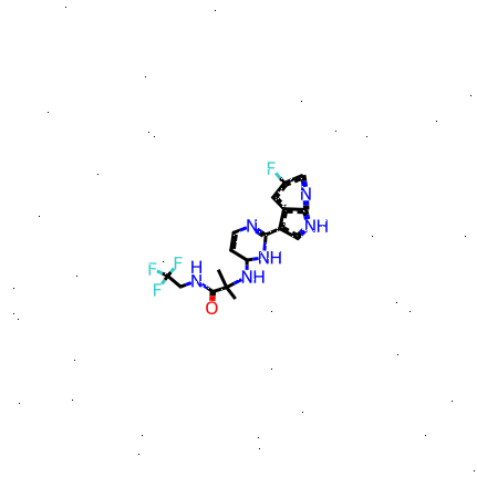 CC(C)(NC1C=CN=C(c2c[nH]c3ncc(F)cc23)N1)C(=O)NCC(F)(F)F